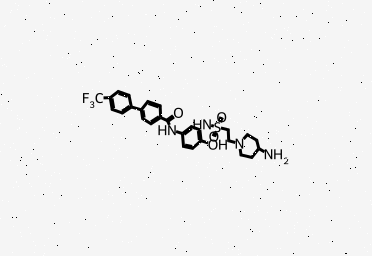 NC1CCN(CCS(=O)(=O)Nc2cc(NC(=O)c3ccc(-c4ccc(C(F)(F)F)cc4)cc3)ccc2O)CC1